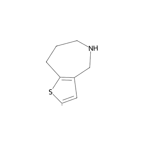 [c]1cc2c(s1)CCCNC2